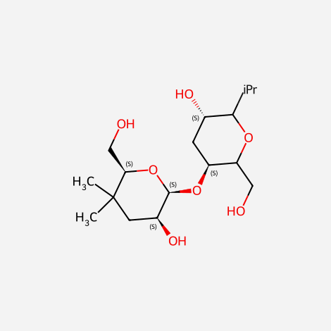 CC(C)C1OC(CO)[C@@H](O[C@@H]2O[C@H](CO)C(C)(C)C[C@@H]2O)C[C@@H]1O